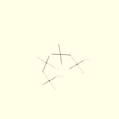 CCC(C)(CC(C)(CC)SC(C)(C)CC(C)(C)NC)NC